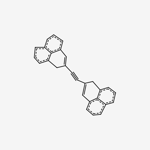 C(#CC1=Cc2cccc3cccc(c23)C1)C1=Cc2cccc3cccc(c23)C1